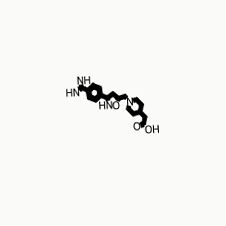 N=C(N)c1ccc(C2CC(CN3CCC(CC(=O)O)CC3)ON2)cc1